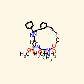 COC(=O)[C@@H]1C[C@@H]2CN1C(=O)[C@H](C(C)(C)C)NC(=O)OCCCC/C=C/c1cccc(c1)C1=NC2N=C1c1ccccc1